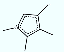 [CH2]c1cn(C)c(C)c1C